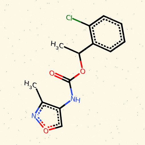 Cc1nocc1NC(=O)OC(C)c1ccccc1Cl